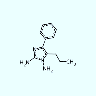 CCCc1c(-c2ccccc2)nc(N)n1N